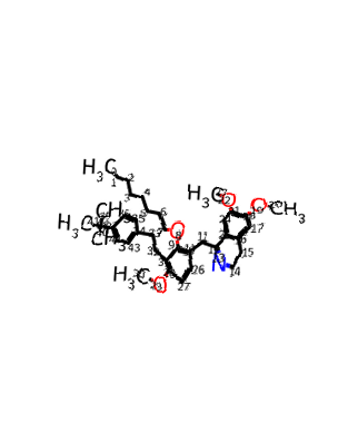 CCCCCCCCOc1c(CC2=NCCc3cc(OC)c(OC)cc32)ccc(OC)c1CCc1ccc(C(C)(C)C)cc1